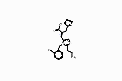 CCCc1ncc(/C=C(\Cc2cccs2)C(=O)O)n1Cc1ccccc1Cl